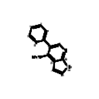 CNc1c(-c2ccccn2)cnc2[nH]ccc12